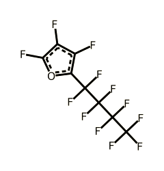 Fc1oc(C(F)(F)C(F)(F)C(F)(F)C(F)(F)F)c(F)c1F